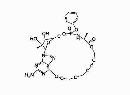 C[C@@H]1NP(=O)(Oc2ccccc2)OCC2OC(n3cnc4c(nc(N)nc43)OCCCCCCCCOC1=O)[C@](C)(O)[C@@H]2O